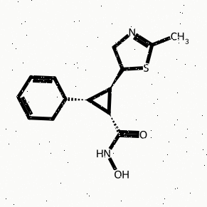 CC1=NCC([C@H]2[C@H](C(=O)NO)[C@@H]2C2C=CC=CC2)S1